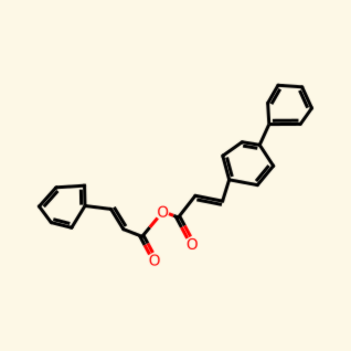 O=C(C=Cc1ccccc1)OC(=O)C=Cc1ccc(-c2ccccc2)cc1